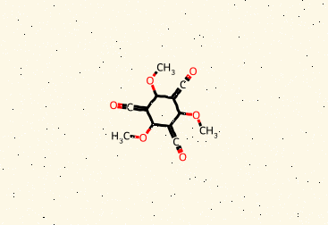 COC1C(=C=O)C(OC)C(=C=O)C(OC)C1=C=O